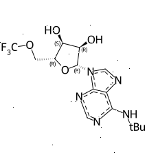 CC(C)(C)Nc1ncnc2c1ncn2[C@@H]1O[C@H](COC(F)(F)F)[C@@H](O)[C@H]1O